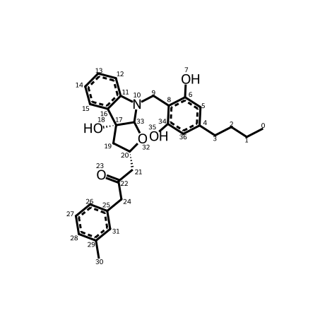 CCCCc1cc(O)c(CN2c3ccccc3[C@]3(O)C[C@@H](CC(=O)Cc4cccc(C)c4)OC23)c(O)c1